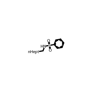 CCCCCCCCNS(=O)(=O)c1c[c]ccc1